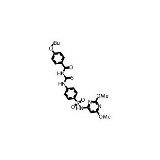 CCC(C)Oc1ccc(C(=O)NC(=S)Nc2ccc(S(=O)(=O)Nc3cc(OC)nc(OC)n3)cc2)cc1